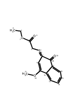 CCOC(=O)C/[S+]=C1\C=C(OC)c2ccccc2C1=O